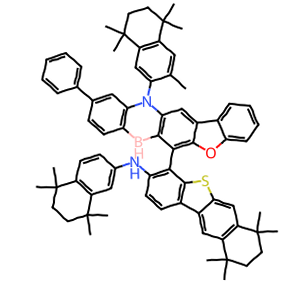 Cc1cc2c(cc1N1c3cc(-c4ccccc4)ccc3Bc3c1cc1c(oc4ccccc41)c3-c1c(Nc3ccc4c(c3)C(C)(C)CCC4(C)C)ccc3c1sc1cc4c(cc13)C(C)(C)CCC4(C)C)C(C)(C)CCC2(C)C